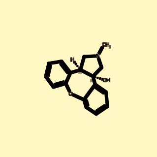 CN1C[C@@H]2c3ccccc3Oc3ccccc3[C@]2(O)C1